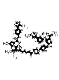 CNC(=O)c1nnc(Nc2ccc(N3CCN(C(=O)CCCCC(=O)N[C@H](C(=O)N4C[C@H](O)C[C@H]4C(=O)NCc4ccc(-c5scnc5C)cc4)C(C)(C)C)CC3)cn2)cc1Nc1cccc(-c2ncn(C)n2)c1OC